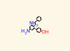 Nc1cc(N)c(C=Cc2ccccc2)c(-c2ccc(O)cc2)c1